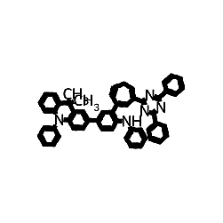 CC1(C)c2ccccc2N(c2ccccc2)c2ccc(-c3ccc(Nc4ccccc4)c(C4=CC(c5nc(-c6ccccc6)nc(-c6ccccc6)n5)=CCC#C4)c3)cc21